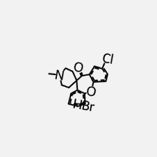 Br.CN1CCC2(CC1)C(=O)c1cc(Cl)ccc1Oc1ccccc12